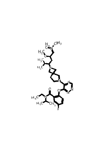 CCN(C(=O)c1cc(F)ccc1Oc1nncnc1N1CCC2(C1)CN(C(CC(CN(C)C)OC)C(C)C)C2)C(C)C